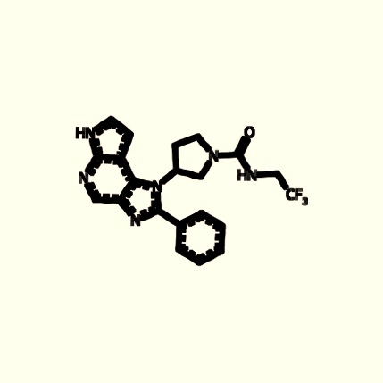 O=C(NCC(F)(F)F)N1CCC(n2c(-c3ccccc3)nc3cnc4[nH]ccc4c32)C1